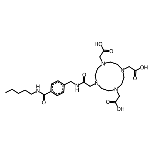 CCCCCNC(=O)c1ccc(CNC(=O)CN2CCN(CC(=O)O)CCN(CC(=O)O)CCN(CC(=O)O)CC2)cc1